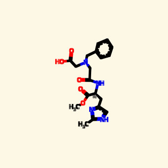 COC(=O)[C@H](Cc1c[nH]c(C)n1)NC(=O)CN(CC(=O)O)Cc1ccccc1